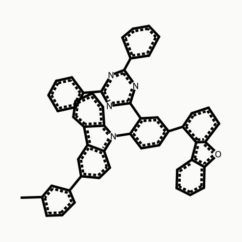 Cc1cccc(-c2ccc3c(c2)c2ccccc2n3-c2ccc(-c3cccc4oc5ccccc5c34)cc2-c2nc(-c3ccccc3)nc(-c3ccccc3)n2)c1